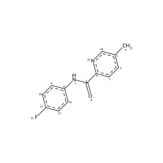 Cc1ccc(C(=O)Nc2ccc(F)cc2)nc1